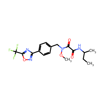 CCC(C)NC(=O)C(=O)N(Cc1ccc(-c2noc(C(F)(F)F)n2)cc1)OC